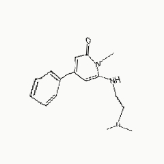 CN(C)CCNc1cc(-c2ccccc2)cc(=O)n1C